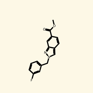 COC(=O)c1ccc2cn(Cc3cccc(F)c3)nc2c1